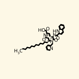 CCCCCCCCCCCCC[C@@H](CC(N)=O)N(Cc1ccccn1)C(=O)[C@H](CCCC(=O)O)NC(=O)c1ccc2ccccc2n1